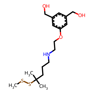 CSSC(C)(C)CCCNCCOc1cc(CO)cc(CO)c1